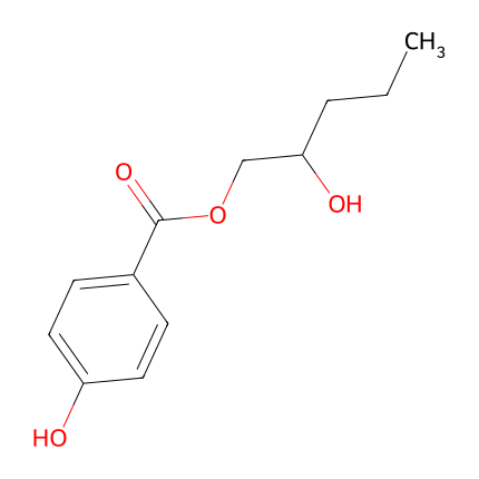 CCCC(O)COC(=O)c1ccc(O)cc1